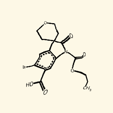 CCOC(=O)N1C(=O)C2(CCOCC2)c2cc(Br)c(C(=O)O)cc21